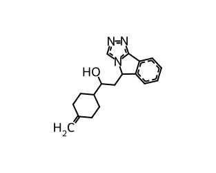 C=C1CCC(C(O)CC2c3ccccc3-c3nncn32)CC1